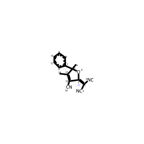 [C-]#[N+]/C(C#N)=C1\OC(C)(c2ccccc2)C(C)=C1C#N